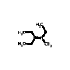 CCN(C)[N+](CC)CC